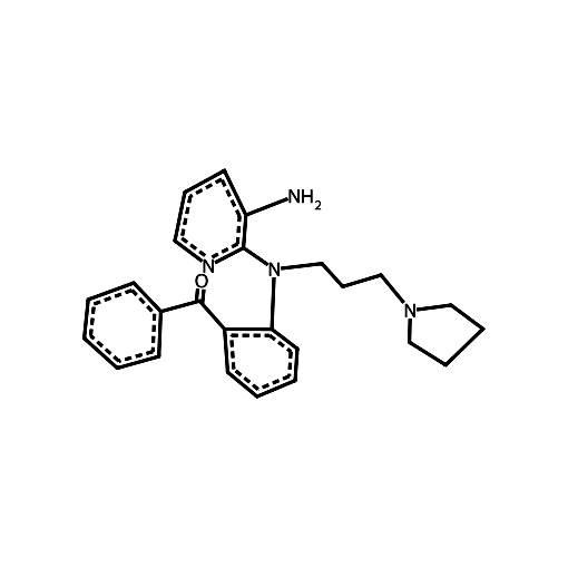 Nc1cccnc1N(CCCN1CCCC1)c1ccccc1C(=O)c1ccccc1